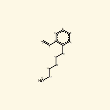 [CH]=Cc1ccccc1CCCCCO